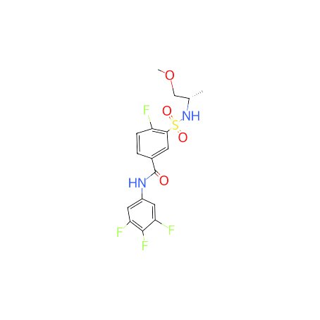 COC[C@H](C)NS(=O)(=O)c1cc(C(=O)Nc2cc(F)c(F)c(F)c2)ccc1F